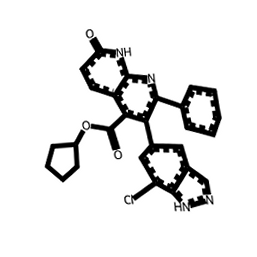 O=C(OC1CCCC1)c1c(-c2cc(Cl)c3[nH]ncc3c2)c(-c2ccccc2)nc2[nH]c(=O)ccc12